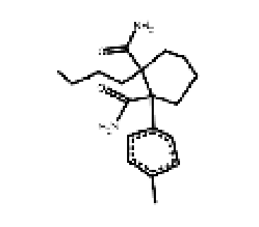 CCCCC1(C(N)=O)CCCCC1(C(N)=O)c1ccc(C)cc1